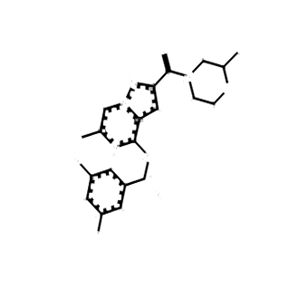 Cc1cn2nc(C(=O)N3CCOC(C)C3)cc2c(N[C@H](C)c2cc(N)cc(C(F)(F)F)c2)n1